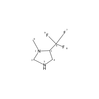 CN1[CH]NCC1C(F)(F)F